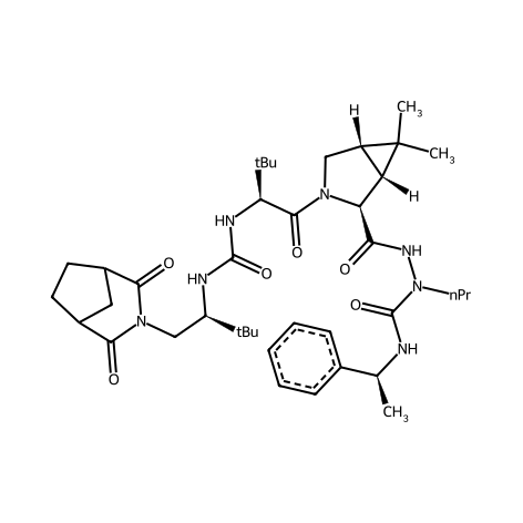 CCCN(NC(=O)[C@@H]1[C@@H]2[C@H](CN1C(=O)[C@@H](NC(=O)N[C@H](CN1C(=O)C3CCC(C3)C1=O)C(C)(C)C)C(C)(C)C)C2(C)C)C(=O)N[C@@H](C)c1ccccc1